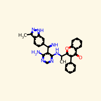 Cc1n[nH]c2cc(C(=N)c3c(N)ncnc3NC(C)c3oc4ccccc4c(=O)c3-c3ccccc3)ccc12